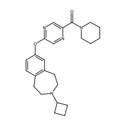 O=C(c1cnc(Oc2ccc3c(c2)CCN(C2CCC2)CC3)cn1)N1CCCCC1